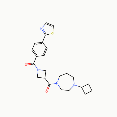 O=C(c1ccc(-c2nccs2)cc1)N1CC(C(=O)N2CCCN(C3CCC3)CC2)C1